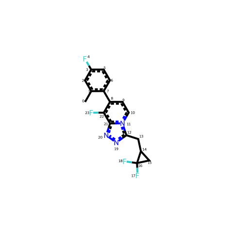 Cc1cc(F)ccc1-c1ccn2c(CC3CC3(F)F)nnc2c1F